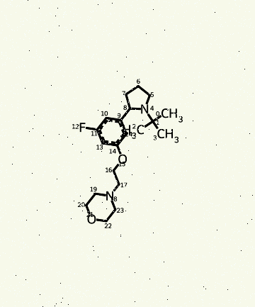 CC(C)(C)N1CCCC1c1cc(F)cc(OCCN2CCOCC2)c1